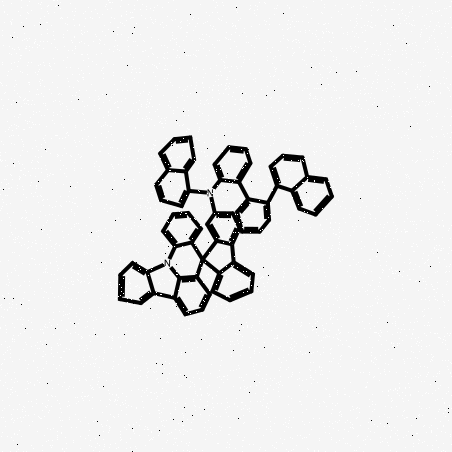 c1ccc(-c2cccc3ccccc23)c(-c2ccccc2N(c2ccc3c(c2)C2(c4ccccc4-3)c3ccccc3-n3c4ccccc4c4cccc2c43)c2cccc3ccccc23)c1